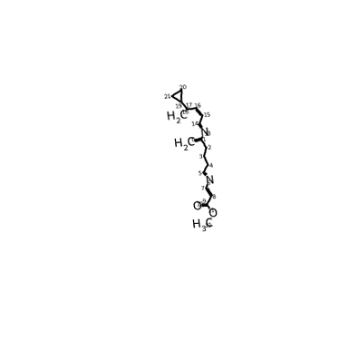 C=C(CCC/C=N/C=C/C(=O)OC)/N=C/C=C\C(=C)C1CC1